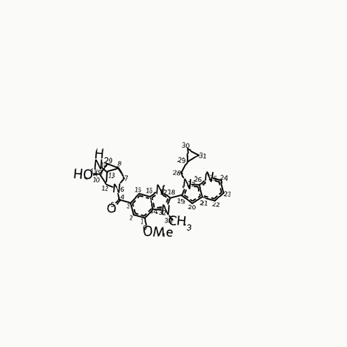 COc1cc(C(=O)N2CC3C[C@H](O)C2C3N)cc2nc(-c3cc4cccnc4n3CC3CC3)n(C)c12